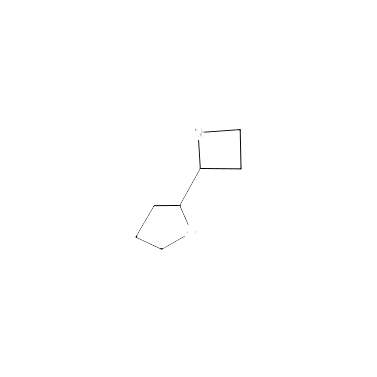 C1COC(C2CC[N]2)C1